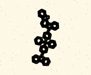 C1=CCCC([Si](c2ccccc2)(c2ccc(-n3c4ccccc4c4ccccc43)cc2)c2ccc(-n3c4ccccc4c4c5oc6ccccc6c5ccc43)cc2)=C1